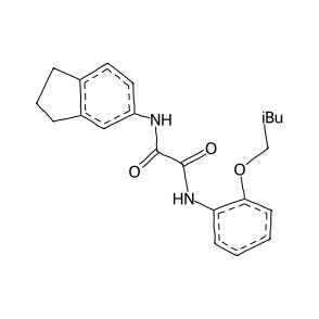 CCC(C)COc1ccccc1NC(=O)C(=O)Nc1ccc2c(c1)CCC2